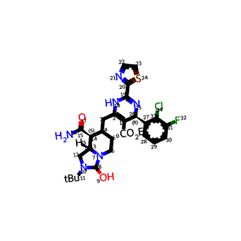 CCOC(=O)C1=C(CC2CCN3C(O)N(C(C)(C)C)C[C@@H]3[C@H]2C(N)=O)NC(c2nccs2)=N[C@H]1c1cccc(F)c1Cl